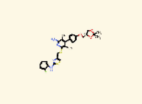 CC1(C)OC[C@H](COc2ccc(-c3c(C#N)c(N)nc(SCc4csc(Nc5ccccc5F)n4)c3C#N)cc2)O1